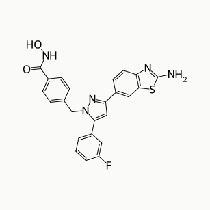 Nc1nc2ccc(-c3cc(-c4cccc(F)c4)n(Cc4ccc(C(=O)NO)cc4)n3)cc2s1